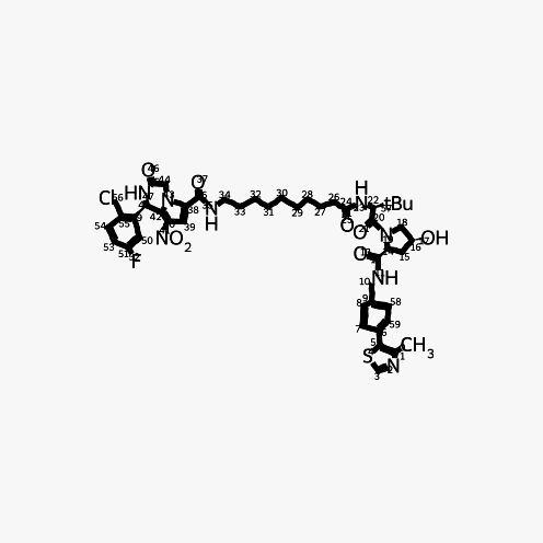 Cc1ncsc1-c1ccc(CNC(=O)[C@@H]2C[C@@H](O)CN2C(=O)[C@@H](NC(=O)CCCCCCCCCNC(=O)c2cc([N+](=O)[O-])c3n2CC(=O)N[C@@H]3c2cc(F)ccc2Cl)C(C)(C)C)cc1